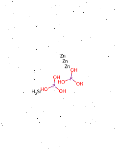 OP(O)O.OP(O)O.[SrH2].[Zn].[Zn].[Zn]